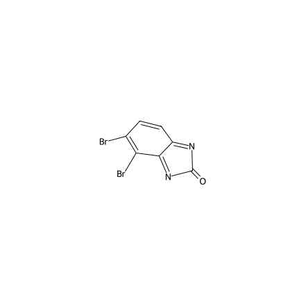 O=C1N=c2ccc(Br)c(Br)c2=N1